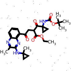 CCOC(=O)C(CC(=O)c1cccc2nc(C)c(NC3(C)CC3)nc12)C(=O)C1(NC(=O)OC(C)(C)C)CC1